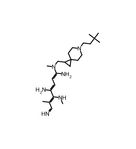 CNC(/C(N)=C/C=C(\N)N(C)CC1CC12CCN(CCC(C)(C)C)CC2)=C(/C)C=N